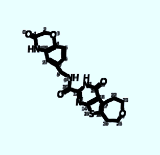 O=C1COc2ccc(CNC(=O)c3nc4sc5c(c4c(=O)[nH]3)CCOCC5)cc2N1